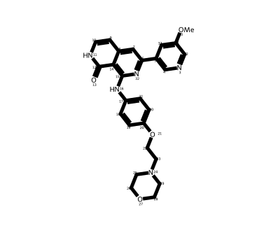 COc1cncc(-c2cc3cc[nH]c(=O)c3c(Nc3ccc(OCCN4CCOCC4)cc3)n2)c1